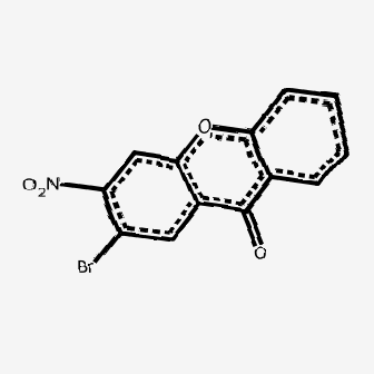 O=c1c2ccccc2oc2cc([N+](=O)[O-])c(Br)cc12